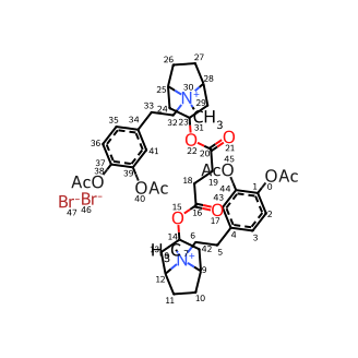 CC(=O)Oc1ccc(CC[N+]2(C)C3CCC2CC(OC(=O)CCC(=O)OC2CC4CCC(C2)[N+]4(C)CCc2ccc(OC(C)=O)c(OC(C)=O)c2)C3)cc1OC(C)=O.[Br-].[Br-]